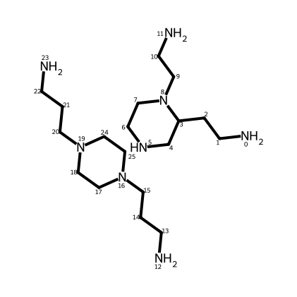 NCCC1CNCCN1CCN.NCCCN1CCN(CCCN)CC1